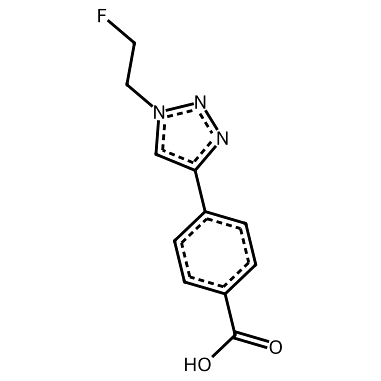 O=C(O)c1ccc(-c2cn(CCF)nn2)cc1